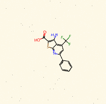 Nc1c(C(=O)O)sc2nc(-c3ccccc3)cc(C(F)(F)F)c12